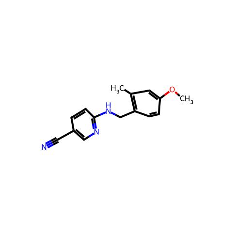 COc1ccc(CNc2ccc(C#N)cn2)c(C)c1